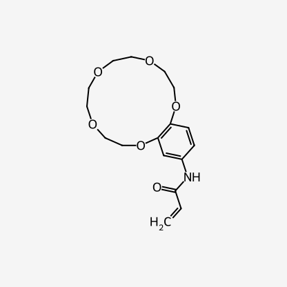 C=CC(=O)Nc1ccc2c(c1)OCCOCCOCCOCCO2